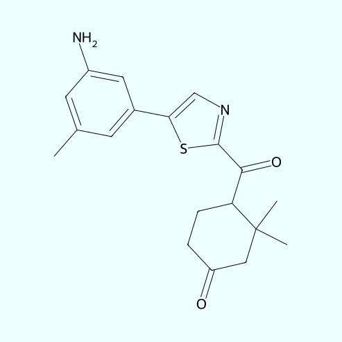 Cc1cc(N)cc(-c2cnc(C(=O)C3CCC(=O)CC3(C)C)s2)c1